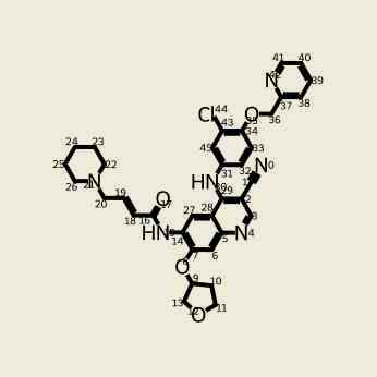 N#Cc1cnc2cc(OC3CCOC3)c(NC(=O)C=CCN3CCCCC3)cc2c1Nc1ccc(OCc2ccccn2)c(Cl)c1